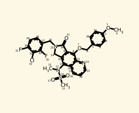 COc1ccc(COc2c3c(c(N(C)S(C)(=O)=O)c4cccnc24)CN(Cc2ccc(F)c(Cl)c2F)C3=O)cc1